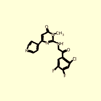 Cn1c(NCC(=O)c2cc(F)c(F)cc2Cl)nc(-c2ccncc2)cc1=O